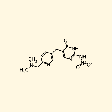 CN(C)Cc1ccc(Cc2cnc(N[N+](=O)[O-])[nH]c2=O)cn1